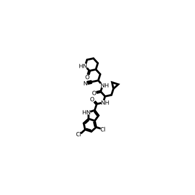 N#CC(CC1CCCNC1=O)NC(=O)C(CC1CC1)NC(=O)c1cc2c(Cl)cc(Cl)cc2[nH]1